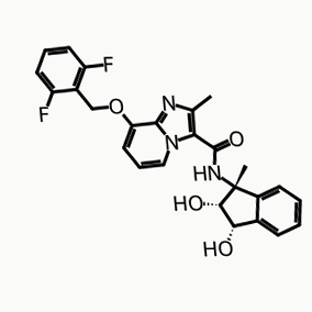 Cc1nc2c(OCc3c(F)cccc3F)cccn2c1C(=O)N[C@]1(C)c2ccccc2[C@H](O)[C@@H]1O